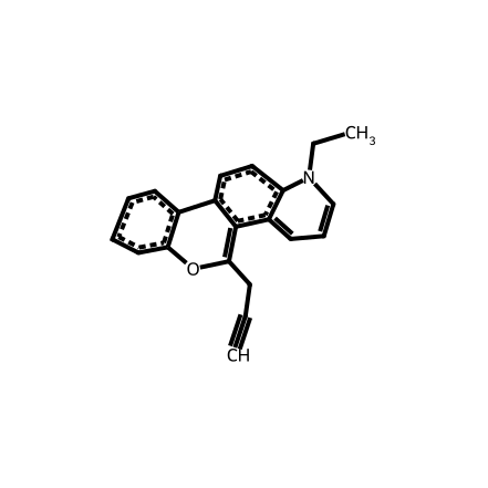 C#CCC1=c2c(ccc3c2=CC=CN3CC)-c2ccccc2O1